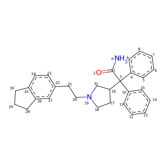 NC(=O)C(c1ccccc1)(c1ccccc1)C1CCN(CCc2ccc3c(c2)CCC3)C1